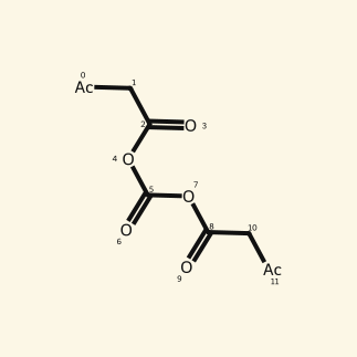 CC(=O)CC(=O)OC(=O)OC(=O)CC(C)=O